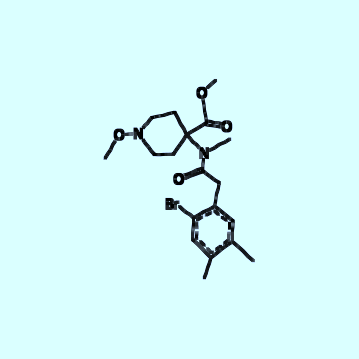 COC(=O)C1(N(C)C(=O)Cc2cc(C)c(C)cc2Br)CCN(OC)CC1